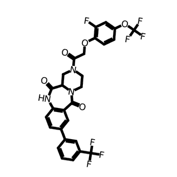 O=C1Nc2ccc(-c3cccc(C(F)(F)F)c3)cc2C(=O)N2CCN(C(=O)COc3ccc(OC(F)(F)F)cc3F)CC12